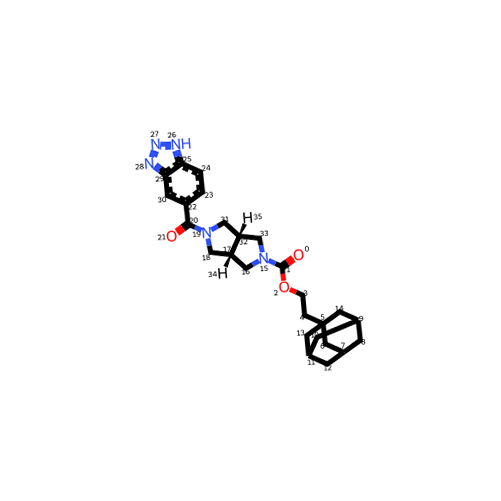 O=C(OCCC12CC3CC(CC(C3)C1)C2)N1C[C@@H]2CN(C(=O)c3ccc4[nH]nnc4c3)C[C@@H]2C1